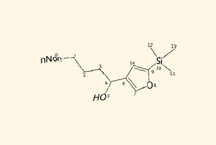 CCCCCCCCCCCCC(O)c1coc([Si](C)(C)C)c1